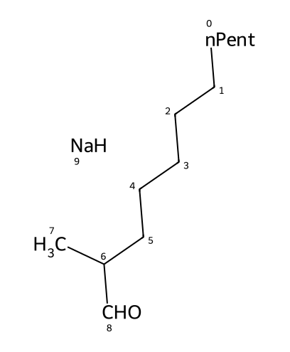 CCCCCCCCCCC(C)C=O.[NaH]